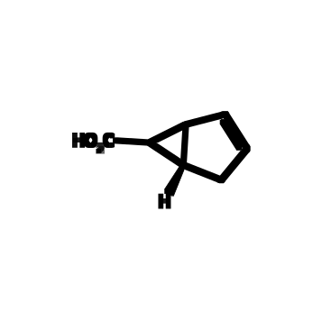 O=C(O)C1C2C=CC[C@@H]21